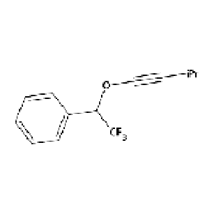 CC(C)C#COC(c1ccccc1)C(F)(F)F